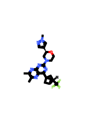 Cc1nc2nc(N3CCO[C@@H](c4cnn(C)c4)C3)nc(C34CC(C3)[C@@H](C(F)(F)F)C4)c2nc1C